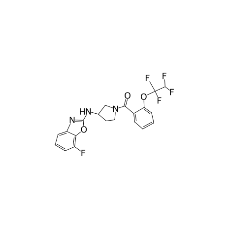 O=C(c1ccccc1OC(F)(F)C(F)F)N1CCC(Nc2nc3cccc(F)c3o2)C1